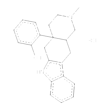 CN1CCC2(c3ccccc3O)Cc3[nH]c4ccccc4c3CC2C1.Cl